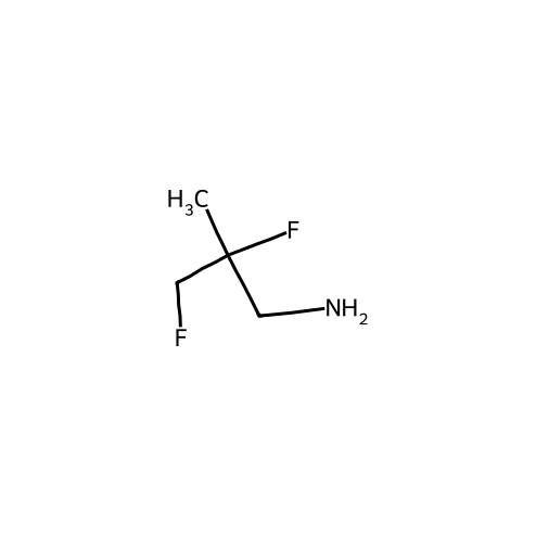 CC(F)(CN)CF